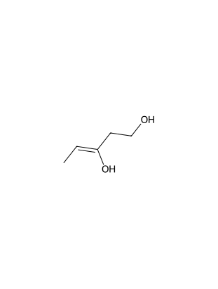 CC=C(O)CCO